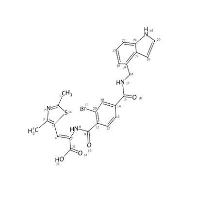 Cc1nc(C)c(/C=C(\NC(=O)c2ccc(C(=O)NCc3cccc4[nH]ccc34)cc2Br)C(=O)O)s1